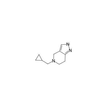 C1=C2CN(CC3CC3)CCC2=N[N]1